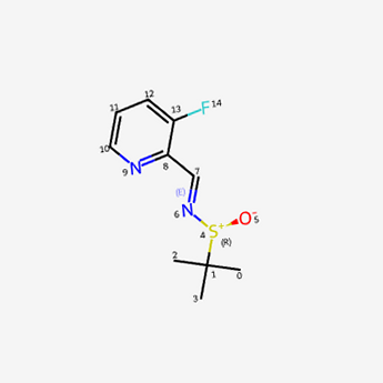 CC(C)(C)[S@+]([O-])/N=C/c1ncccc1F